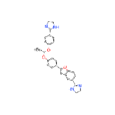 CCCCC(Oc1ccc(C2=NCCN2)cc1)Oc1ccc(-c2cc3cc(C4=NCCN4)ccc3o2)cc1